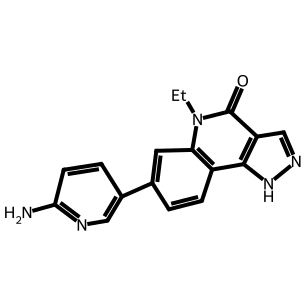 CCn1c(=O)c2cn[nH]c2c2ccc(-c3ccc(N)nc3)cc21